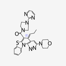 CC/C=C1/C(C(=O)N2CCN(c3ncccn3)CC2)=C2Sc3ccccc3N2c2nnc(N3CCOCC3)cc21